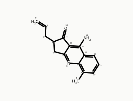 C=CCC1Cc2nc3c(C)cccc3c(N)c2C1=O